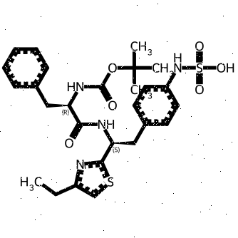 CCc1csc([C@H](Cc2ccc(NS(=O)(=O)O)cc2)NC(=O)[C@@H](Cc2ccccc2)NC(=O)OC(C)(C)C)n1